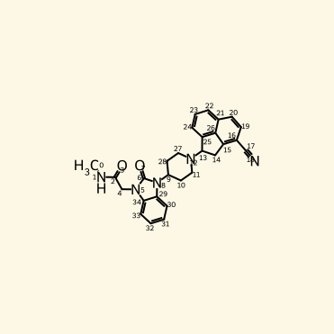 CNC(=O)Cn1c(=O)n(C2CCN(C3Cc4c(C#N)ccc5cccc3c45)CC2)c2ccccc21